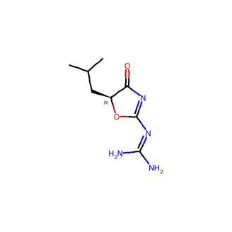 CC(C)C[C@@H]1OC(N=C(N)N)=NC1=O